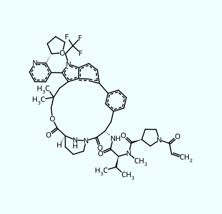 C=CC(=O)N1CC[C@H](C(=O)N(C)[C@H](C(=O)N[C@H]2Cc3cccc(c3)-c3ccc4c(c3)c(c(-c3cccnc3[C@@H]3CCCO3)n4CC(F)(F)F)CC(C)(C)COC(=O)[C@@H]3CCCN(N3)C2=O)C(C)C)C1